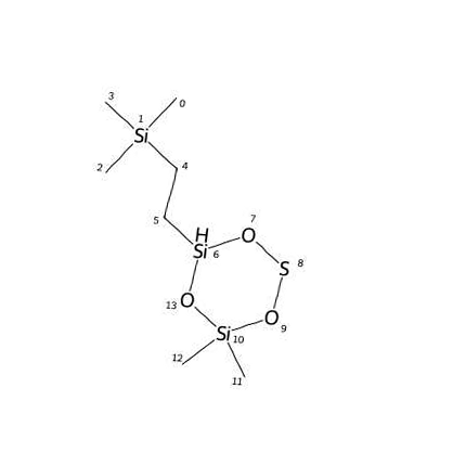 C[Si](C)(C)CC[SiH]1OSO[Si](C)(C)O1